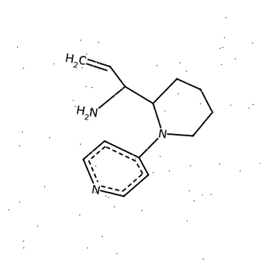 C=CC(N)C1CCCCN1c1ccncc1